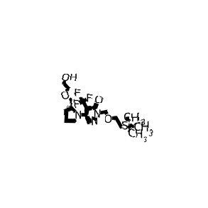 C[Si](C)(C)CCOCn1ncc(N2CCC[C@H]2COCCO)c(C(F)(F)F)c1=O